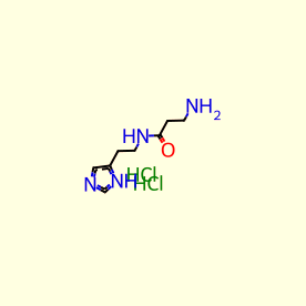 Cl.Cl.NCCC(=O)NCCc1cnc[nH]1